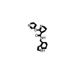 O=C(NCc1cccc2[nH]ccc12)c1cccnc1Oc1cccnc1